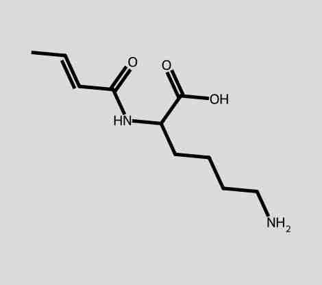 CC=CC(=O)NC(CCCCN)C(=O)O